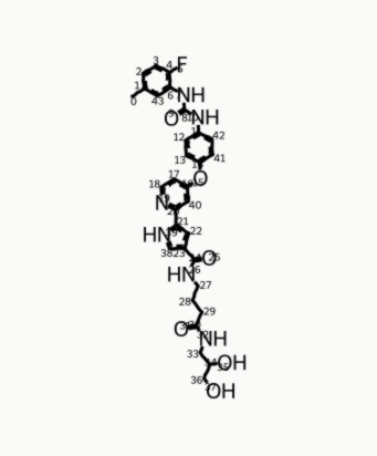 Cc1ccc(F)c(NC(=O)Nc2ccc(Oc3ccnc(-c4cc(C(=O)NCCCC(=O)NCC(O)CO)c[nH]4)c3)cc2)c1